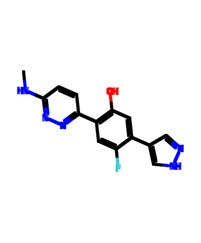 CNc1ccc(-c2cc(F)c(-c3cn[nH]c3)cc2O)nn1